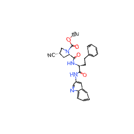 CC(C)(C)OC(=O)N1C[C@@H](C#N)CC1C(=O)N[C@@H](CCc1ccccc1)C(=O)Nc1cnc2ccccc2c1